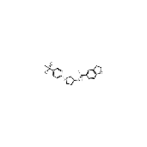 C[C@@H](NC1CC[C@H](c2ccc(S(C)(=O)=O)cc2)C1)c1ccc2c(c1)CCO2